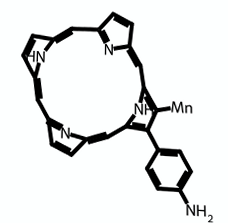 Nc1ccc(-c2[c]([Mn])c3cc4nc(cc5ccc(cc6nc(cc2[nH]3)C=C6)[nH]5)C=C4)cc1